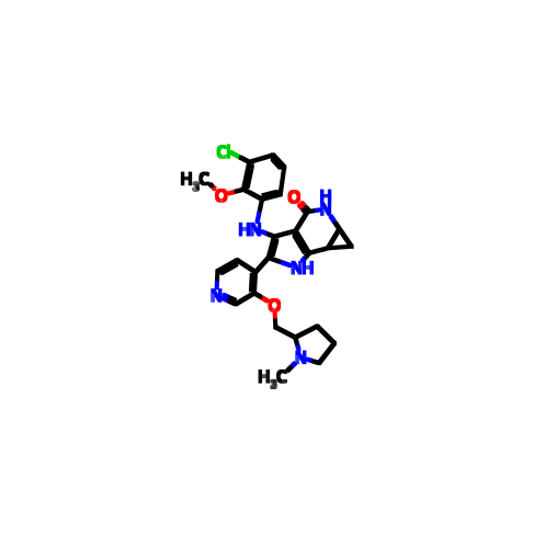 COc1c(Cl)cccc1Nc1c(-c2ccncc2OCC2CCCN2C)[nH]c2c1C(=O)NC1CC21